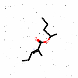 CC/C=C(\C)C(=O)OC(C)CCC